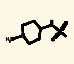 BN1CCC(NS(C)(=O)=O)CC1